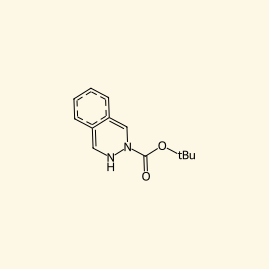 CC(C)(C)OC(=O)N1C=c2ccccc2=CN1